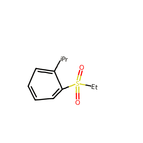 CCS(=O)(=O)c1ccccc1C(C)C